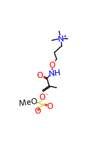 C=C(C)C(=O)NOCCC[N+](C)(C)C.COS(=O)(=O)[O-]